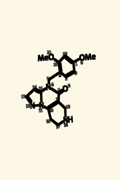 COc1ccc(Cn2c(=O)c3c(n4nccc24)CCNC3)c(OC)c1